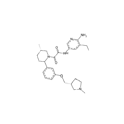 CCc1cc(NC(=O)C(=O)N2C[C@@H](C)CCC2c2cccc(OC[C@@H]3CCN(C)C3)c2)cnc1N